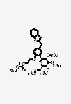 CCCCOC[C@H]1O[C@@H](c2cc(CC3=CC4C=CC=CC4S3)ccc2OCCNC(=O)OC(C)(C)C)[C@H](OCCCC)[C@@H](OCCCC)[C@@H]1OCCCC